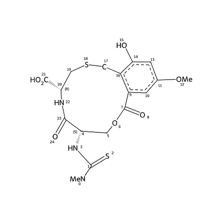 CNC(=S)N[C@H]1COC(=O)c2cc(OC)cc(O)c2CSC[C@@H](C(=O)O)NC1=O